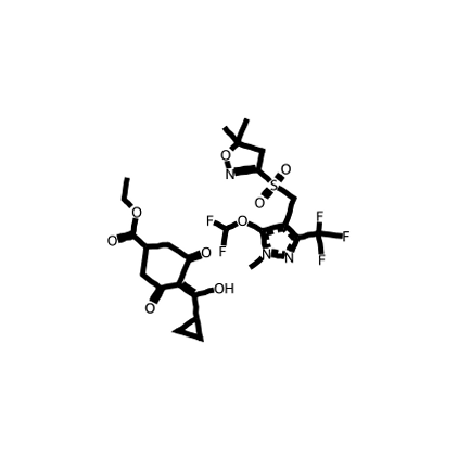 CCOC(=O)C1CC(=O)C(=C(O)C2CC2)C(=O)C1.Cn1nc(C(F)(F)F)c(CS(=O)(=O)C2=NOC(C)(C)C2)c1OC(F)F